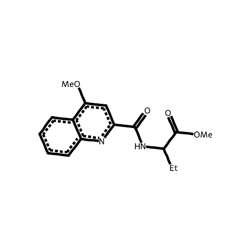 CCC(NC(=O)c1cc(OC)c2ccccc2n1)C(=O)OC